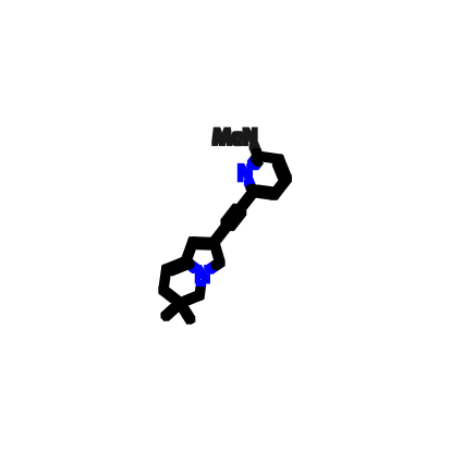 CNc1cccc(C#CC2=CC3=CCC(C)(C)CN3C2)n1